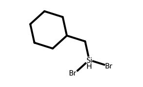 Br[SiH](Br)CC1CCCCC1